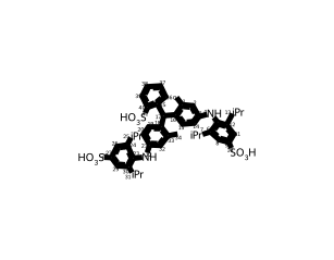 Cc1cc(Nc2c(C(C)C)cc(S(=O)(=O)O)cc2C(C)C)ccc1C(c1ccc(Nc2c(C(C)C)cc(S(=O)(=O)O)cc2C(C)C)cc1C)c1ccccc1S(=O)(=O)O